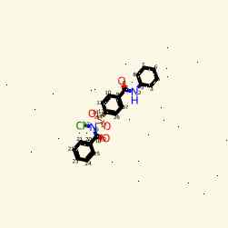 O=C(NC1CCCCC1)c1ccc(S(=O)(=O)N(Cl)C(=O)c2ccccc2)cc1